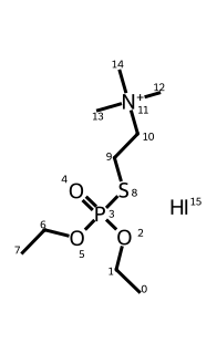 CCOP(=O)(OCC)SCC[N+](C)(C)C.I